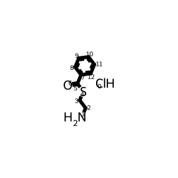 Cl.NCCSC(=O)c1ccccc1